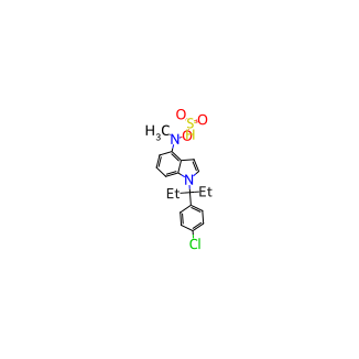 CCC(CC)(c1ccc(Cl)cc1)n1ccc2c(N(C)O[SH](=O)=O)cccc21